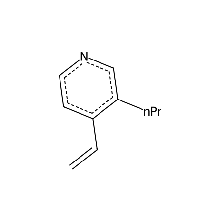 C=Cc1ccncc1CCC